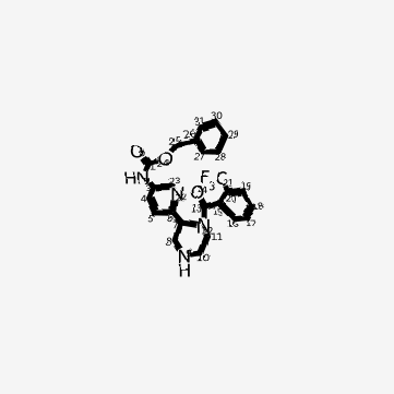 O=C(Nc1ccc(C2CNCCN2C(=O)c2ccccc2C(F)(F)F)nc1)OCc1ccccc1